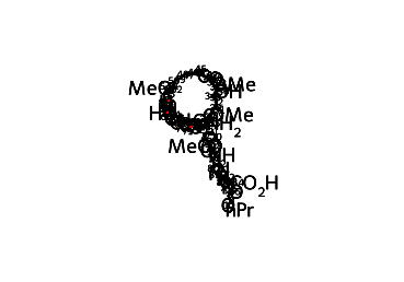 CCCOCCC(=O)N1CCN(c2ncc(CNC(=O)O[C@@H]3CC[C@@H](C[C@@H](N)[C@@H]4C[C@@H](OC)[C@H](C)/C=C(\C)[C@@H](O)[C@@H](OC)C(=O)[C@H](C)C[C@H](C)/C=C/C=C/C=C(\C)[C@@H](OC)C[C@@H]5CC[C@@H](C)[C@@](O)(O5)C(=O)C(=O)N5CCCC[C@H]5C(=O)O4)C[C@H]3OC)cn2)C[C@@H]1C(=O)O